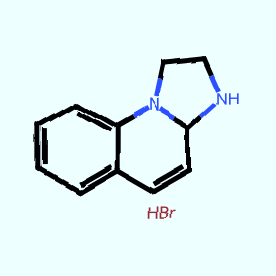 Br.C1=CC2NCCN2c2ccccc21